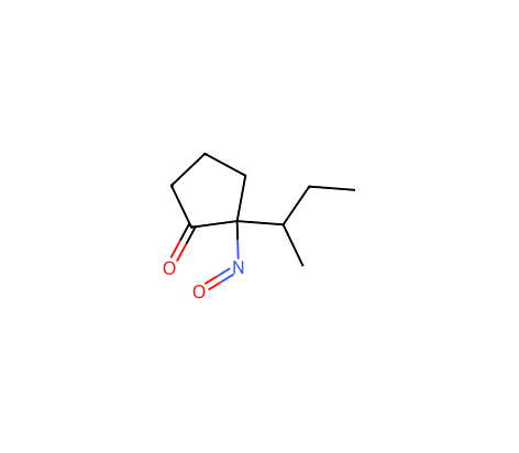 CCC(C)C1(N=O)CCCC1=O